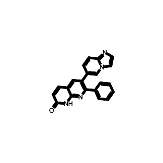 O=c1ccc2cc(-c3ccc4nccn4c3)c(-c3ccccc3)nc2[nH]1